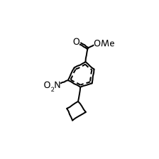 COC(=O)c1ccc(C2CCC2)c([N+](=O)[O-])c1